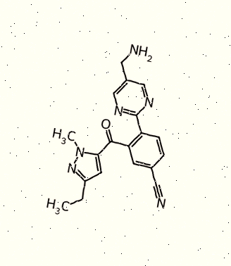 CCc1cc(C(=O)c2cc(C#N)ccc2-c2ncc(CN)cn2)n(C)n1